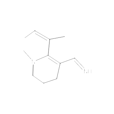 C/C=C(/C)C1=C(C=N)CCCN1C